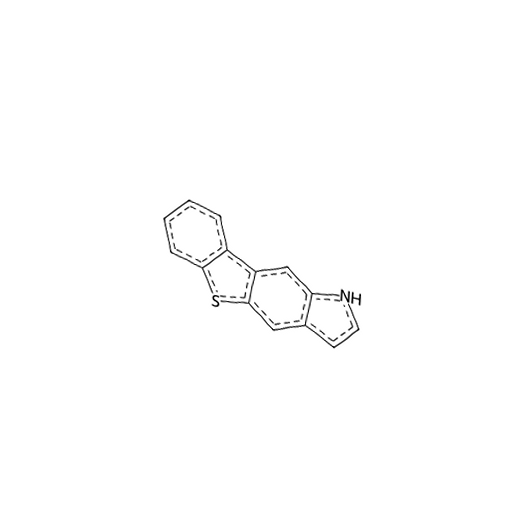 c1ccc2c(c1)sc1cc3cc[nH]c3cc12